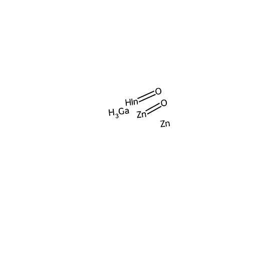 [GaH3].[O]=[InH].[O]=[Zn].[Zn]